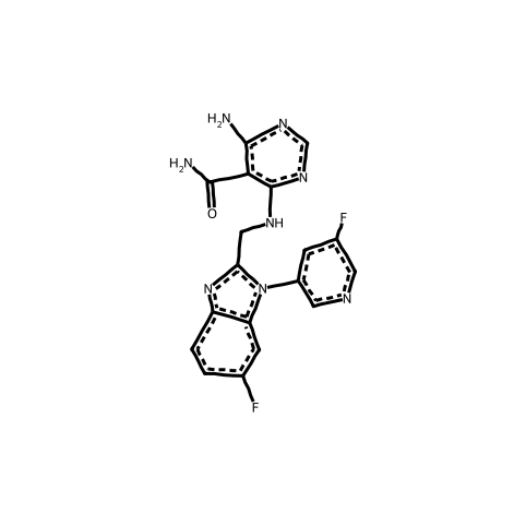 NC(=O)c1c(N)ncnc1NCc1nc2ccc(F)cc2n1-c1cncc(F)c1